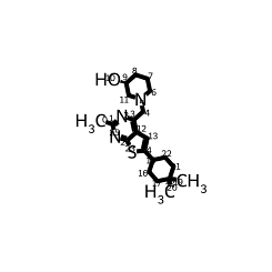 Cc1nc(CN2CCC[C@H](O)C2)c2cc(C3CCC(C)(C)CC3)sc2n1